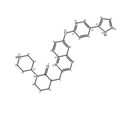 O=C1C(Cc2ccc3cc(Oc4ccc(-c5ccn[nH]5)cn4)ccc3n2)CCCN1C1CCNCC1